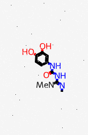 C/N=C(\NC)NC(=O)Nc1ccc(O)c(O)c1